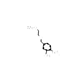 COCCOCc1ccc(N)c(O)c1